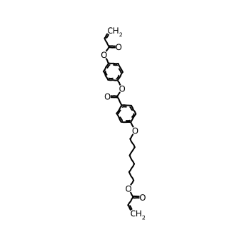 C=CC(=O)OCCCCCCOc1ccc(C(=O)Oc2ccc(OC(=O)C=C)cc2)cc1